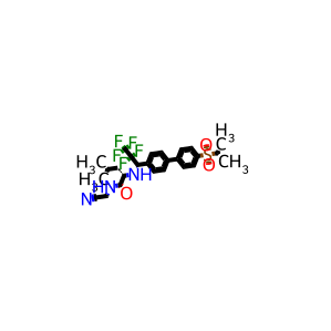 CC(C)C[C@H](N[C@@H](c1ccc(-c2ccc(S(=O)(=O)C(C)C)cc2)cc1)C(F)(F)C(F)(F)F)C(=O)NCC#N